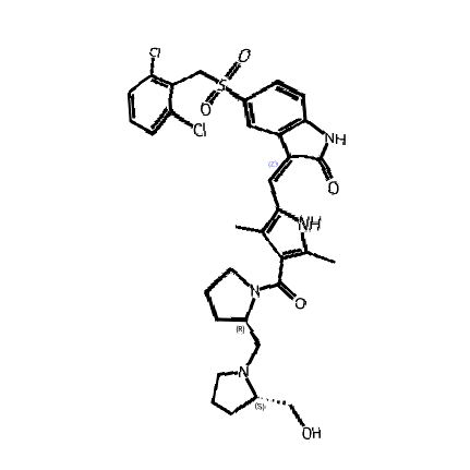 Cc1[nH]c(/C=C2\C(=O)Nc3ccc(S(=O)(=O)Cc4c(Cl)cccc4Cl)cc32)c(C)c1C(=O)N1CCC[C@@H]1CN1CCC[C@H]1CO